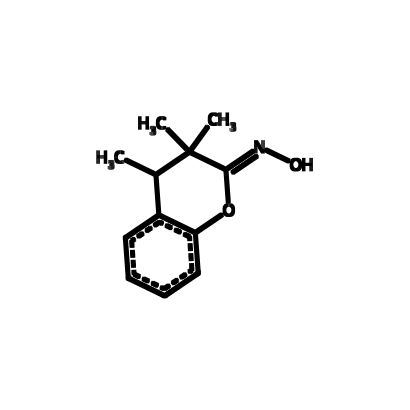 CC1c2ccccc2OC(=NO)C1(C)C